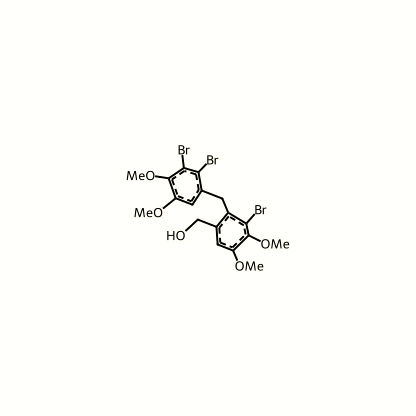 COc1cc(Cc2c(CO)cc(OC)c(OC)c2Br)c(Br)c(Br)c1OC